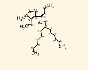 C=C/C=C(/OCC(CCCCCC)CCCCCC)c1ncn(C)c1C=C